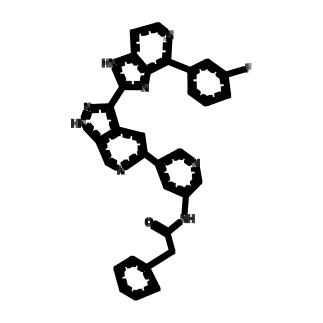 O=C(Cc1ccccc1)Nc1cncc(-c2cc3c(-c4nc5c(-c6cccc(F)c6)nccc5[nH]4)n[nH]c3cn2)c1